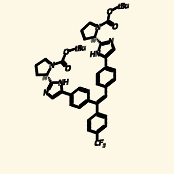 CC(C)(C)OC(=O)N1CCC[C@H]1c1ncc(-c2ccc(C=C(c3ccc(-c4cnc([C@@H]5CCCN5C(=O)OC(C)(C)C)[nH]4)cc3)c3ccc(C(F)(F)F)cc3)cc2)[nH]1